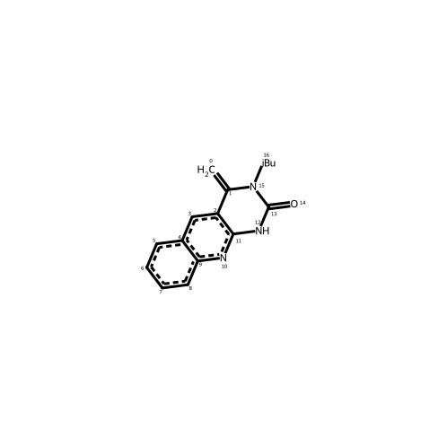 C=C1c2cc3ccccc3nc2NC(=O)N1C(C)CC